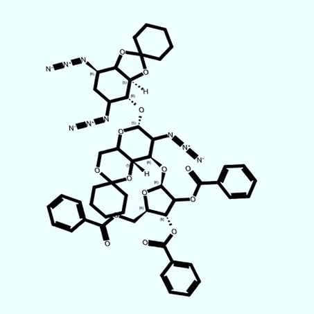 [N-]=[N+]=NC1C[C@@H](N=[N+]=[N-])C2OC3(CCCCC3)O[C@H]2[C@@H]1O[C@H]1OC2COC3(CCCCC3)O[C@H]2[C@H](O[C@@H]2O[C@H](COC(=O)c3ccccc3)[C@@H](OC(=O)c3ccccc3)C2OC(=O)c2ccccc2)C1N=[N+]=[N-]